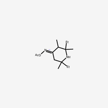 CCC1(C)C/C(=N\OC(C)=O)C(C)C(C)(CC)N1